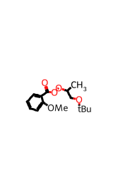 COc1ccccc1C(=O)OO[C](C)COC(C)(C)C